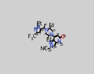 CC[C@H]1CN(C(C)c2cc(C(F)(F)F)nn2CC)[C@H](CC)CN1c1cc(=O)n(C)c2cn(CC#N)nc12